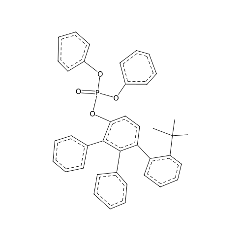 CC(C)(C)c1ccccc1-c1ccc(OP(=O)(Oc2ccccc2)Oc2ccccc2)c(-c2ccccc2)c1-c1ccccc1